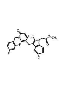 COC(=O)Cn1c(C)c(Cc2ccc(=O)n(Cc3ccc(F)cc3F)c2)c2cc(Cl)ccc21